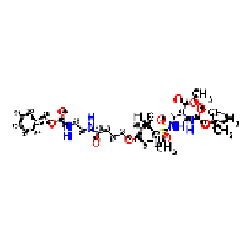 COC(=O)C(CNS(=O)(=O)c1c(C)cc(OCCCC(=O)NCCNC(=O)OCc2ccccc2)cc1C)NC(=O)OC(C)(C)C